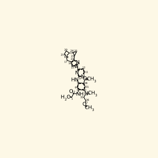 C=CC(=O)Nc1cc(Nc2nccc(-n3cc(CN4CCC4)c(C4CC4)n3)n2)c(OC)cc1N(C)CCOC